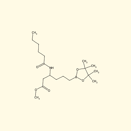 CCCCCC(=O)NC(CCCB1OC(C)(C)C(C)(C)O1)CC(=O)OC